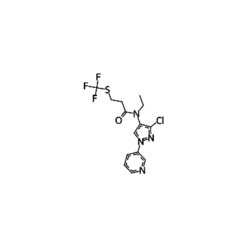 CCN(C(=O)CCSC(F)(F)F)c1cn(-c2cccnc2)nc1Cl